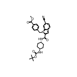 COC(=O)c1ccc(Cn2c(C(=O)N[C@H]3CC[C@H](NC(=O)OC(C)(C)C)CC3)cc3ccc(C#N)cc32)cc1